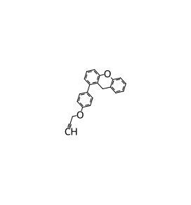 C#CCOc1ccc(-c2cccc3c2Cc2ccccc2O3)cc1